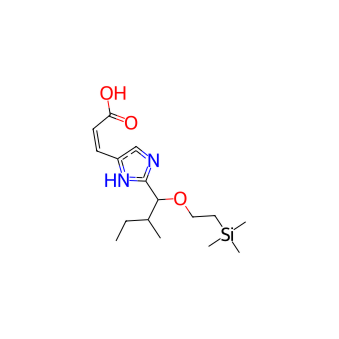 CCC(C)C(OCC[Si](C)(C)C)c1ncc(/C=C\C(=O)O)[nH]1